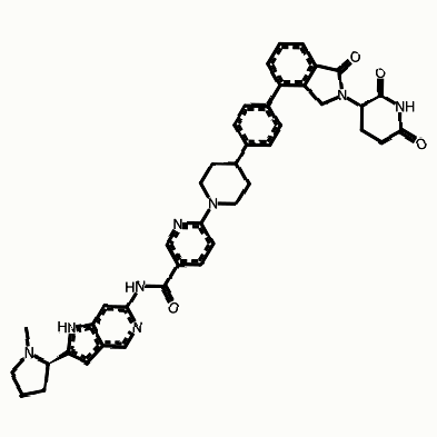 CN1CCC[C@@H]1c1cc2cnc(NC(=O)c3ccc(N4CCC(c5ccc(-c6cccc7c6CN(C6CCC(=O)NC6=O)C7=O)cc5)CC4)nc3)cc2[nH]1